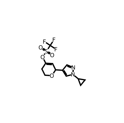 O=S(=O)(OC1=CC(c2cnn(C3CC3)c2)OCC1)C(F)(F)F